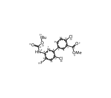 COC(=O)c1cc(-c2nc(NC(=O)OC(C)(C)C)c(F)cc2Cl)ccc1Cl